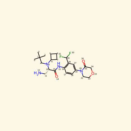 CC(C)(C)CN(C1CCC1)[C@@H](CN)C(=O)Nc1ccc(N2CCOCC2=O)cc1C(F)F